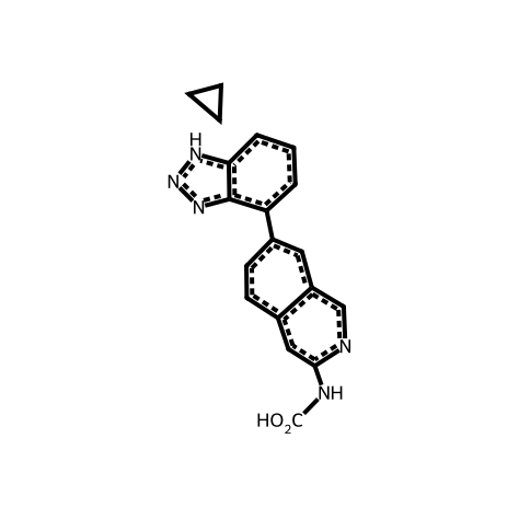 C1CC1.O=C(O)Nc1cc2ccc(-c3cccc4[nH]nnc34)cc2cn1